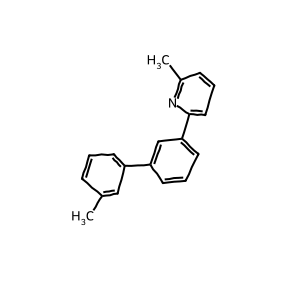 Cc1cccc(-c2cccc(-c3cccc(C)n3)c2)c1